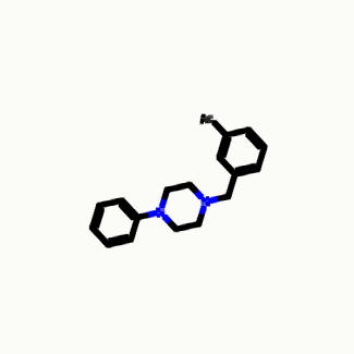 CC(=O)c1cccc(CN2CCN(c3ccccc3)CC2)c1